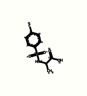 CC(NS(=O)(=O)c1ccc(F)cc1)C(=O)O